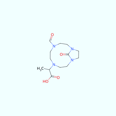 CC(C(=O)O)N1CCN(C=O)CCN2CCN(CC1)C2=O